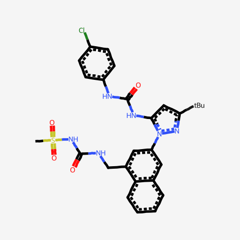 CC(C)(C)c1cc(NC(=O)Nc2ccc(Cl)cc2)n(-c2cc(CNC(=O)NS(C)(=O)=O)c3ccccc3c2)n1